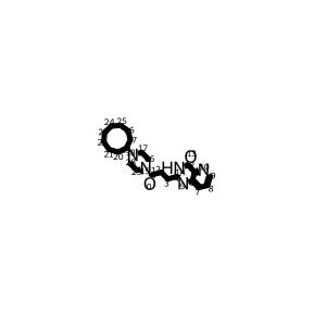 O=C(CCc1nc2cccnc2c(=O)[nH]1)N1CCN(C2CCCCCCCC2)CC1